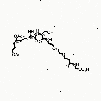 CC(=O)OCCC[C@H](CSC[C@H](N)C(=O)N[C@@H](CO)C(=O)NCCOCCOCCC(=O)NCC(=O)O)OC(C)=O